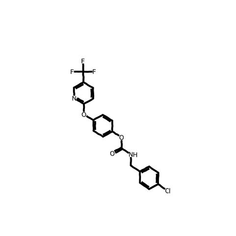 O=C(NCc1ccc(Cl)cc1)Oc1ccc(Oc2ccc(C(F)(F)F)cn2)cc1